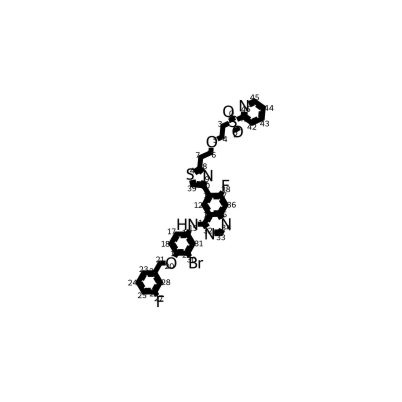 O=S(=O)(CCOCCc1nc(-c2cc3c(Nc4ccc(OCc5cccc(F)c5)c(Br)c4)ncnc3cc2F)cs1)c1ccccn1